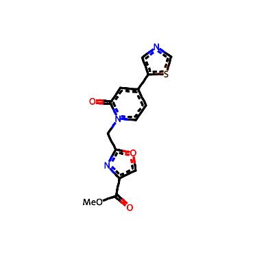 COC(=O)c1coc(Cn2ccc(-c3cncs3)cc2=O)n1